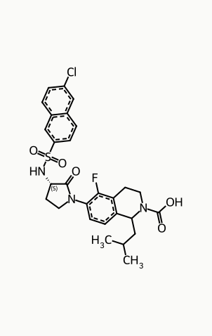 CC(C)CC1c2ccc(N3CC[C@H](NS(=O)(=O)c4ccc5cc(Cl)ccc5c4)C3=O)c(F)c2CCN1C(=O)O